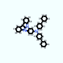 c1ccc(-c2ccc(N(c3ccc(-c4ccccc4)cc3)c3ccc4c(c3)n3c5ccccc5c5c6ccccc6n4c53)cc2)cc1